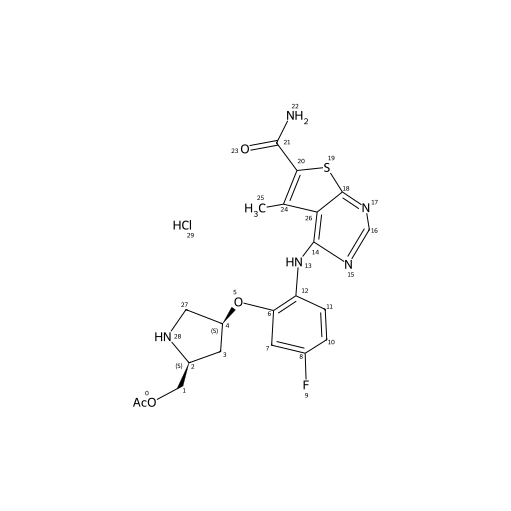 CC(=O)OC[C@@H]1C[C@H](Oc2cc(F)ccc2Nc2ncnc3sc(C(N)=O)c(C)c23)CN1.Cl